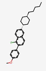 CCCCC[C@H]1CC[C@H](c2ccc3c(F)c(-c4ccc(OC)cc4)ccc3c2)CC1